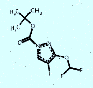 CC(C)(C)OC(=O)n1cc(I)c(OC(F)F)n1